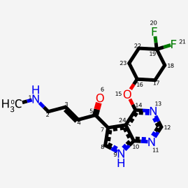 CNCC=CC(=O)c1c[nH]c2ncnc(OC3CCC(F)(F)CC3)c12